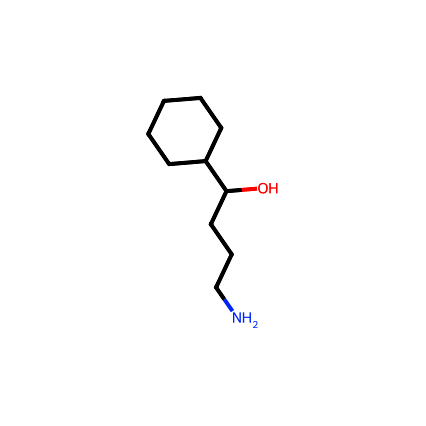 NCCCC(O)C1CCCCC1